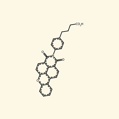 O=C(O)CCCc1ccc(-n2c(=O)c3ccc4oc5ccccc5c5ccc(c2=O)c3c45)cc1